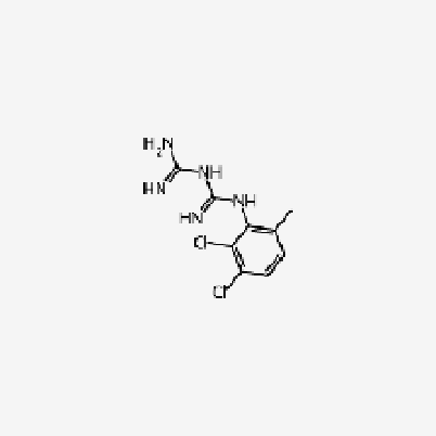 Cc1ccc(Cl)c(Cl)c1NC(=N)NC(=N)N